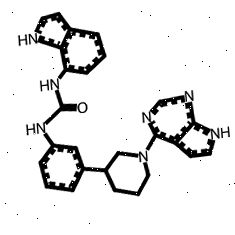 O=C(Nc1cccc(C2CCCN(c3ncnc4[nH]ccc34)C2)c1)Nc1cccc2cc[nH]c12